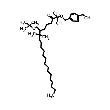 CCCCCCCCCCCCCCCC(C)(C)C(CCCC(=O)C(C)(C)OCc1ccc(CO)cc1)COC(C)(C)C